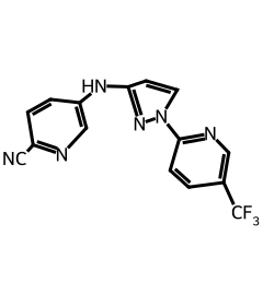 N#Cc1ccc(Nc2ccn(-c3ccc(C(F)(F)F)cn3)n2)cn1